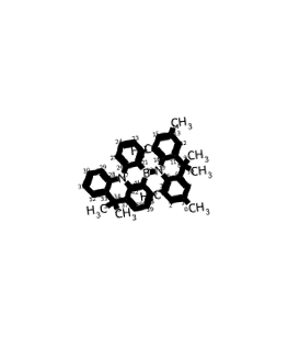 Cc1cc(C)c2c(c1)C(C)(C)c1cc(C)cc(C)c1N2B1c2ccccc2N2c3ccccc3C(C)(C)c3cccc1c32